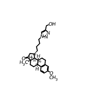 COc1ccc2c(c1)CC[C@H]1[C@@H]3[C@H](CCCCn4cc(CO)nn4)CC(=O)[C@@]3(C)CC[C@H]21